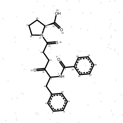 O=C(NC(Cc1ccccc1)C(=O)CCC(=S)N1CCC[C@H]1C(=O)O)c1ccccc1